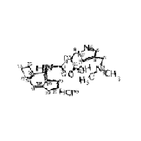 CN(C)Cc1cnn(CC(OC(=O)Nc2c3c(cc4c2CCC4)CCC3)C(=O)O)c1.Cl